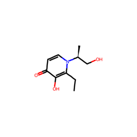 CCc1c(O)c(=O)ccn1[C@@H](C)CO